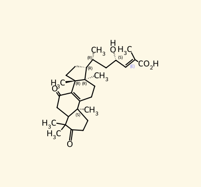 C/C(=C\[C@@H](O)C[C@@H](C)[C@H]1CC[C@@]2(C)C3=C(CC[C@]12C)[C@@]1(C)CCC(=O)C(C)(C)C1CC3=O)C(=O)O